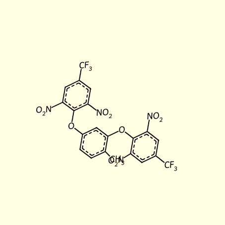 Cc1ccc(Oc2c([N+](=O)[O-])cc(C(F)(F)F)cc2[N+](=O)[O-])cc1Oc1c([N+](=O)[O-])cc(C(F)(F)F)cc1[N+](=O)[O-]